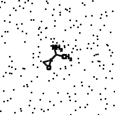 CC(N)C1CO1